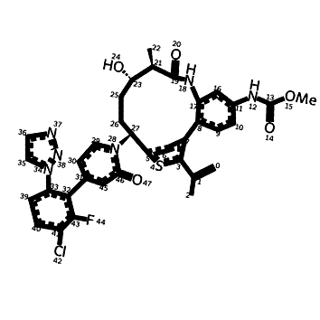 C=C(C)c1sc2cc1-c1ccc(NC(=O)OC)cc1NC(=O)[C@H](C)[C@@H](O)CC[C@@H]2n1ccc(-c2c(-n3ccnn3)ccc(Cl)c2F)cc1=O